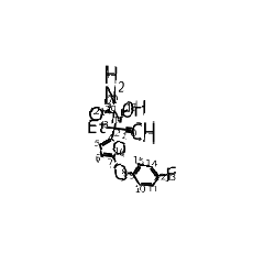 C#CC(CC)(c1ccc(Oc2ccc(F)cc2)o1)N(O)C(N)=O